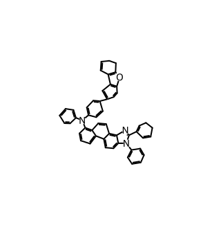 C1=CC(c2nc3c4ccc5c(N(c6ccccc6)c6ccc(-c7ccc8oc9c(c8c7)C=CCC9)cc6)cccc5c4ccc3n2-c2ccccc2)=CCC1